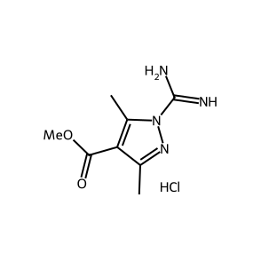 COC(=O)c1c(C)nn(C(=N)N)c1C.Cl